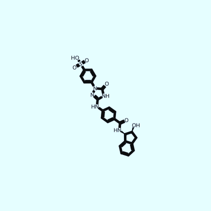 O=C(N[C@@H]1c2ccccc2C[C@@H]1O)c1ccc(Nc2nn(-c3ccc(S(=O)(=O)O)cc3)c(=O)[nH]2)cc1